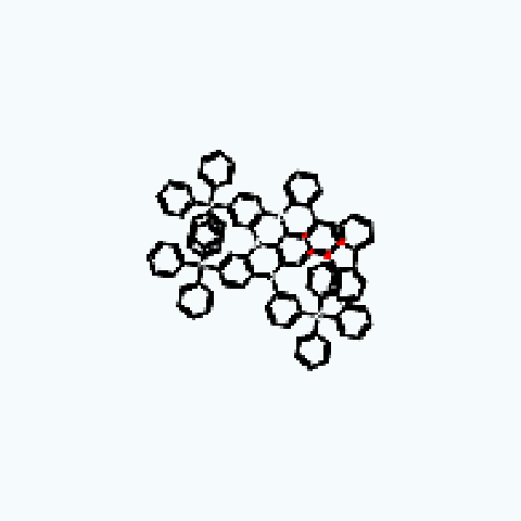 c1ccc(-c2ccccc2N2c3ccc([Si](c4ccccc4)(c4ccccc4)c4ccccc4)cc3B3c4cc([Si](c5ccccc5)(c5ccccc5)c5ccccc5)ccc4N(c4cccc([Si](c5ccccc5)(c5ccccc5)c5ccccc5)c4)c4cc(-n5c6ccccc6c6ccccc65)cc2c43)cc1